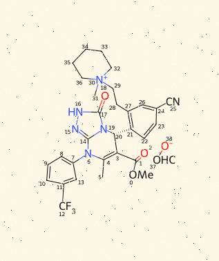 COC(=O)C1=C(C)N(c2cccc(C(F)(F)F)c2)c2n[nH]c(=O)n2[C@@H]1c1ccc(C#N)cc1CC[N+]1(C)CCCCC1.O=C[O-]